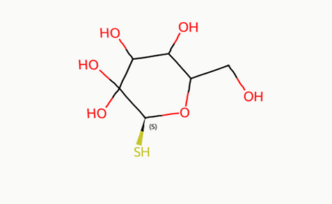 OCC1O[C@@H](S)C(O)(O)C(O)C1O